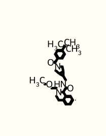 CCOCCN1CCc2cc[c]cc2C1C(=O)NCC1C2CN(C(=O)c3ccc(C(C)(C)C)cc3)CC12